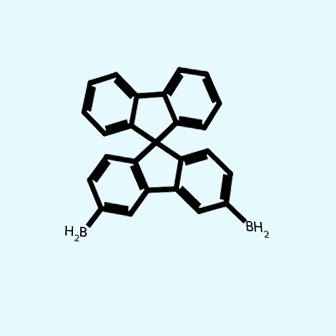 Bc1ccc2c(c1)-c1cc(B)ccc1C21c2ccccc2-c2ccccc21